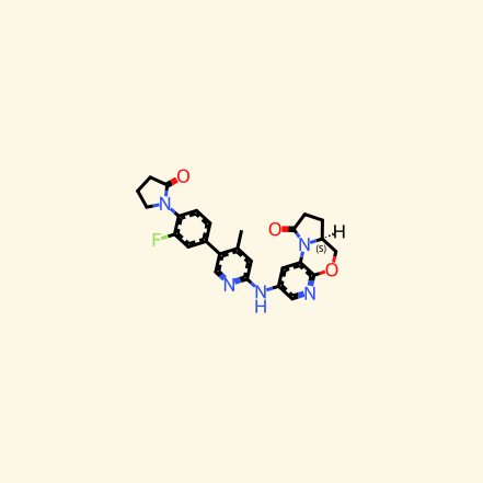 Cc1cc(Nc2cnc3c(c2)N2C(=O)CC[C@H]2CO3)ncc1-c1ccc(N2CCCC2=O)c(F)c1